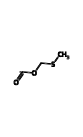 CSCO[C]=O